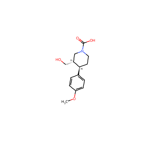 COc1ccc([C@@H]2CCN(C(=O)O)C[C@H]2CO)cc1